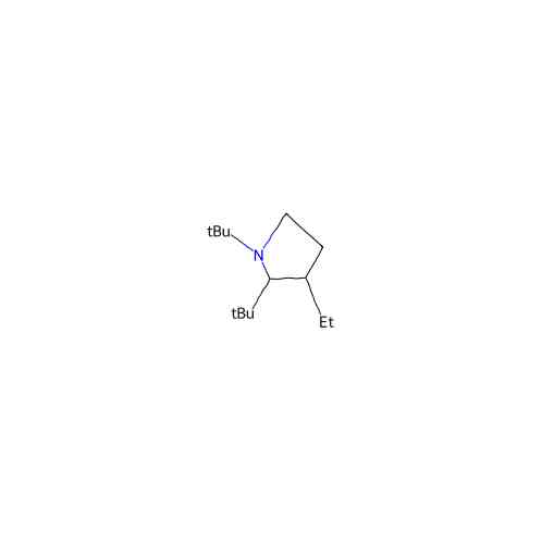 CCC1CCN(C(C)(C)C)C1C(C)(C)C